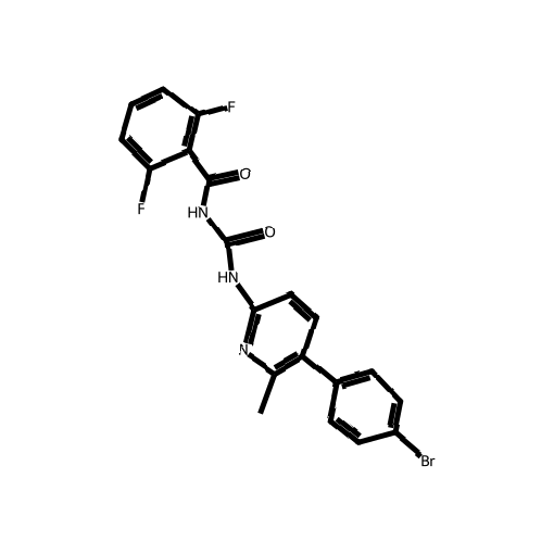 Cc1nc(NC(=O)NC(=O)c2c(F)cccc2F)ccc1-c1ccc(Br)cc1